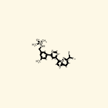 Cc1cc(CN[SH](C)(C)=O)cc(-c2cc(-c3cnc4ccc(C(F)F)nn34)ncn2)c1